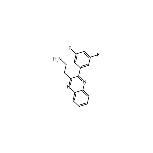 NCCc1nc2ccccc2nc1-c1cc(F)cc(F)c1